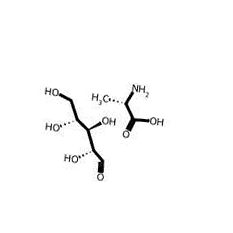 C[C@H](N)C(=O)O.O=C[C@H](O)[C@H](O)[C@H](O)CO